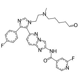 CN(CCCCC=O)CCn1cnc(-c2ccc(F)cc2)c1-c1ccc2nc(NC(=O)c3ccnc(F)c3)cn2n1